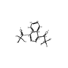 CC(C)(C)C(=O)c1ccc(C(=O)C(C)(C)C)c2ccccc12